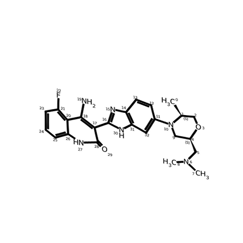 C[C@H]1CO[C@@H](CN(C)C)CN1c1ccc2nc(-c3c(N)c4c(F)cccc4[nH]c3=O)[nH]c2c1